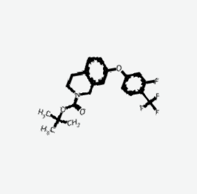 CC(C)(C)OC(=O)N1CCc2ccc(Oc3ccc(C(F)(F)F)c(F)c3)cc2C1